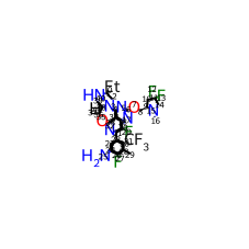 CC[C@@H]1CN2c3nc(OC[C@H]4CC(F)(F)CN4C)nc4c(F)c(-c5cc(N)c(F)c(C)c5C(F)(F)F)nc(c34)O[C@@H](C)[C@@H]2CN1